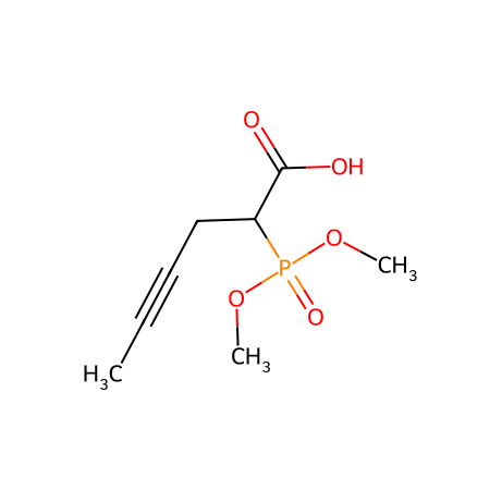 CC#CCC(C(=O)O)P(=O)(OC)OC